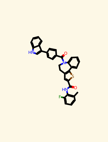 Cc1cccc(F)c1NC(=O)c1cc2c(s1)-c1ccccc1N(C(=O)c1ccc(-c3c[nH]c4ccccc34)cc1)CC2